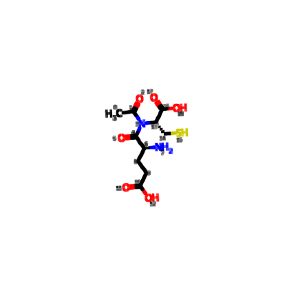 CC(=O)N(C(=O)[C@@H](N)CCC(=O)O)[C@@H](CS)C(=O)O